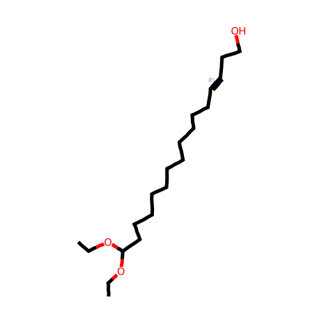 CCOC(CCCCCCCCCCC/C=C/CCO)OCC